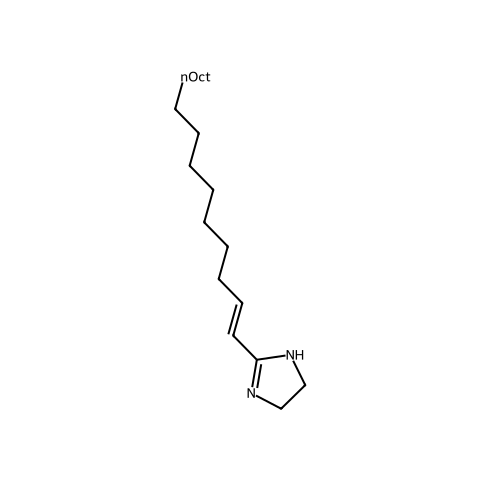 CCCCCCCCCCCCCCCC=CC1=NCCN1